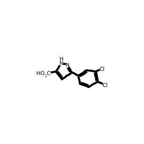 O=C(O)c1cc(-c2ccc(Cl)c(Cl)c2)n[nH]1